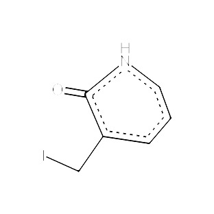 O=c1[nH]cccc1CI